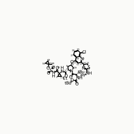 CC[C@@H]1C[C@]1(NC(=O)[C@@H]1C[C@@H](Oc2cc(C3CSC(NC(C)C)=N3)nc3c(Cl)cccc23)CN1C(=O)[C@@H](NC(=O)OC(C)(C)C)C(C)(C)C)C(=O)NS(=O)(=O)OC1(C)CC1